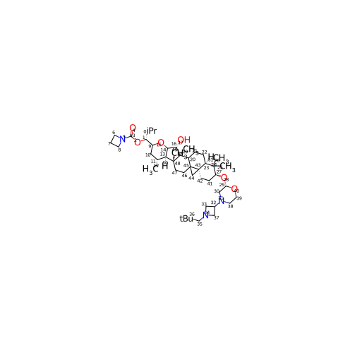 CC(C)[C@@H](OC(=O)N1CCC1)C1C[C@@H](C)[C@H]2C(O1)[C@H](O)[C@@]1(C)C3CC[C@H]4C(C)(C)[C@@H](O[C@H]5CN(C6CN(CC(C)(C)C)C6)CCO5)CC[C@@]45CC35CC[C@]21C